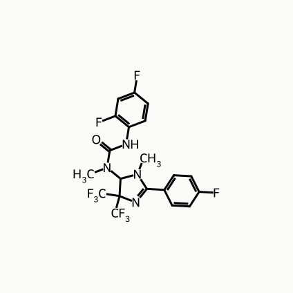 CN(C(=O)Nc1ccc(F)cc1F)C1N(C)C(c2ccc(F)cc2)=NC1(C(F)(F)F)C(F)(F)F